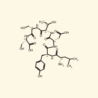 CC(C)C[C@H](N)C(=O)N[C@@H](Cc1ccc(O)cc1)C(=O)N[C@@H](CC(=O)O)C(=O)N[C@H](C(=O)N[C@@H](CO)C(=O)N[C@@H](CO)C(=O)O)[C@@H](C)O